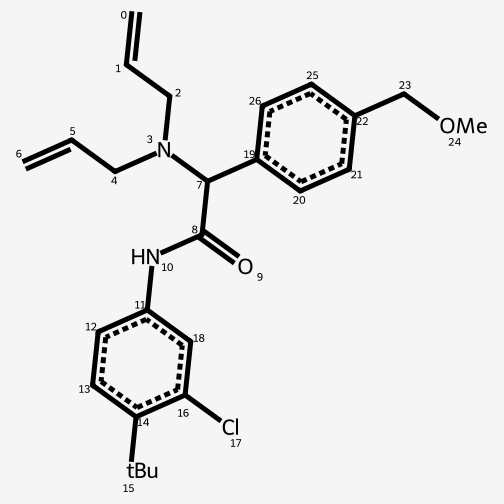 C=CCN(CC=C)C(C(=O)Nc1ccc(C(C)(C)C)c(Cl)c1)c1ccc(COC)cc1